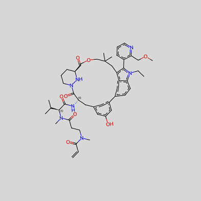 C=CC(=O)N(C)CCC(=O)N(C)[C@H](C(=O)N[C@H]1Cc2cc(O)cc(c2)-c2ccc3c(c2)c(c(-c2cccnc2COC)n3CC)CC(C)(C)COCC2(C=O)CCCN(N2)C1=O)C(C)C